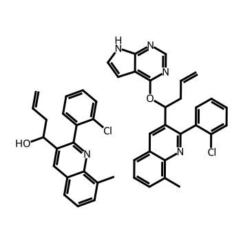 C=CCC(O)c1cc2cccc(C)c2nc1-c1ccccc1Cl.C=CCC(Oc1ncnc2[nH]ccc12)c1cc2cccc(C)c2nc1-c1ccccc1Cl